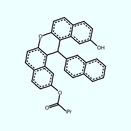 CC(C)C(=O)Oc1ccc2ccc3c(c2c1)C(c1ccc2ccccc2c1)c1c(ccc2ccc(O)cc12)O3